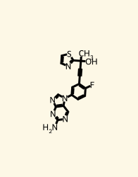 CC(O)(C#Cc1cc(-n2cnc3nc(N)ncc32)ccc1F)c1nccs1